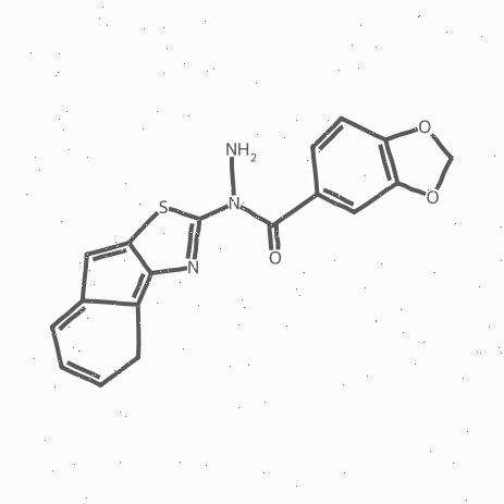 NN(C(=O)c1ccc2c(c1)OCO2)c1nc2c(s1)=CC1=CC=CCC=21